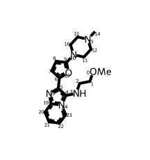 COCCNc1c(-c2ccc(N3CCN(C)CC3)o2)nc2ccccn12